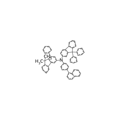 CC1(C)c2ccccc2-c2cc(N(c3ccc(-c4cccc5ccccc45)cc3)c3ccc4c(c3)C(c3ccccc3)(c3ccccc3)c3ccccc3-4)cc(-c3ccccc3)c21